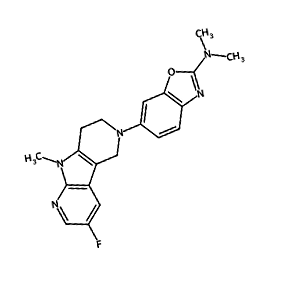 CN(C)c1nc2ccc(N3CCc4c(c5cc(F)cnc5n4C)C3)cc2o1